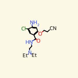 CCN(CC)CCNC(=O)c1cc(Cl)c(N)cc1OCCC#N